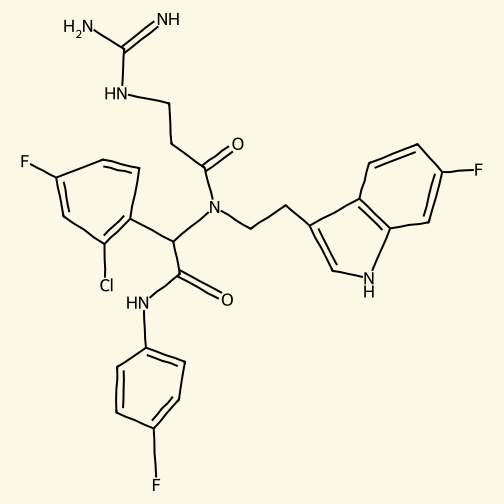 N=C(N)NCCC(=O)N(CCc1c[nH]c2cc(F)ccc12)C(C(=O)Nc1ccc(F)cc1)c1ccc(F)cc1Cl